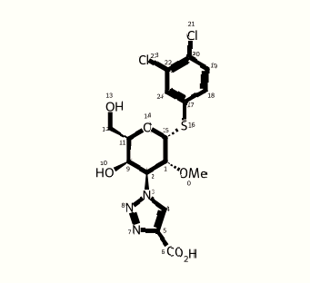 CO[C@@H]1[C@@H](n2cc(C(=O)O)nn2)[C@@H](O)[C@@H](CO)O[C@@H]1Sc1ccc(Cl)c(Cl)c1